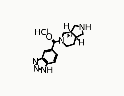 Cl.O=C(c1ccc2[nH]nnc2c1)N1CC[C@@H]2CNC[C@@H]2C1